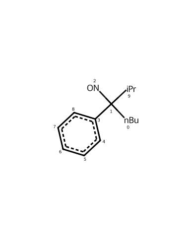 CCCCC(N=O)(c1ccccc1)C(C)C